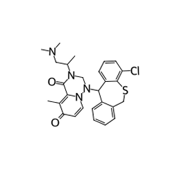 Cc1c2n(ccc1=O)N(C1c3ccccc3CSc3c(Cl)cccc31)CN(C(C)CN(C)C)C2=O